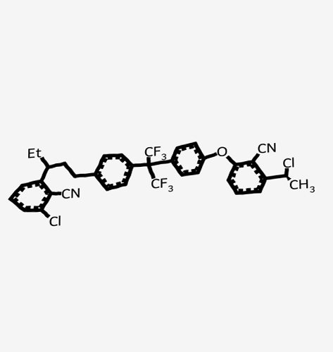 CCC(CCc1ccc(C(c2ccc(Oc3cccc([C@H](C)Cl)c3C#N)cc2)(C(F)(F)F)C(F)(F)F)cc1)c1cccc(Cl)c1C#N